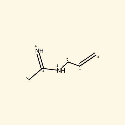 C=CCNC(C)=N